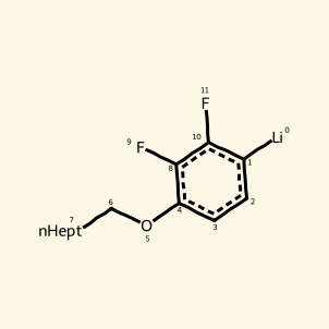 [Li][c]1ccc(OCCCCCCCC)c(F)c1F